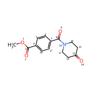 COC(=O)c1ccc(C(=O)N2CCC(=O)CC2)cc1